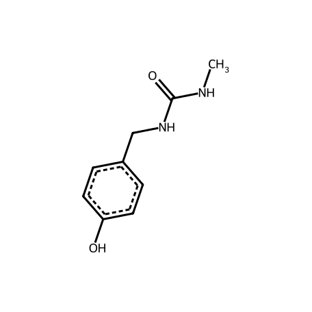 CNC(=O)NCc1ccc(O)cc1